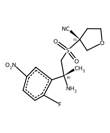 C[C@](N)(CS(=O)(=O)[C@]1(C#N)CCOC1)c1cc([N+](=O)[O-])ccc1F